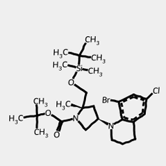 CC(C)(C)OC(=O)N1C[C@H](N2CCCc3cc(Cl)cc(Br)c32)C[C@@]1(C)CO[Si](C)(C)C(C)(C)C